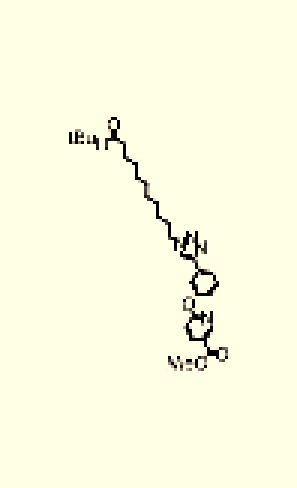 COC(=O)c1ccc(Oc2cccc(-c3cn(CCCCCCCCCCC(=O)OC(C)(C)C)nn3)c2)nc1